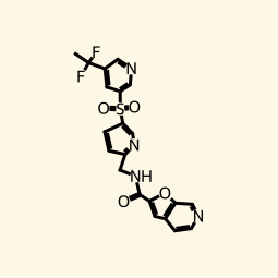 CC(F)(F)c1cncc(S(=O)(=O)c2ccc(CNC(=O)c3cc4ccncc4o3)nc2)c1